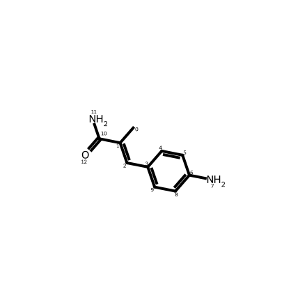 C/C(=C\c1ccc(N)cc1)C(N)=O